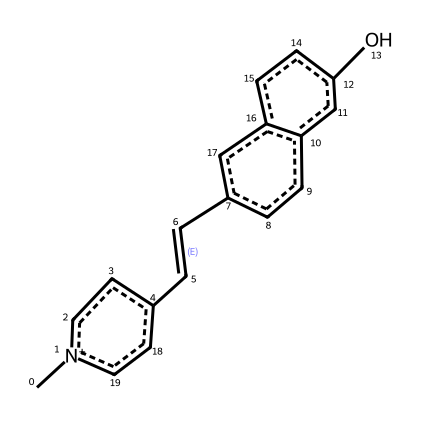 C[n+]1ccc(/C=C/c2ccc3cc(O)ccc3c2)cc1